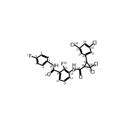 O=C(Nc1ccc(F)cc1)c1cccc(NC(=O)C2C(c3cc(Cl)cc(Cl)c3)C2(Cl)Cl)c1F